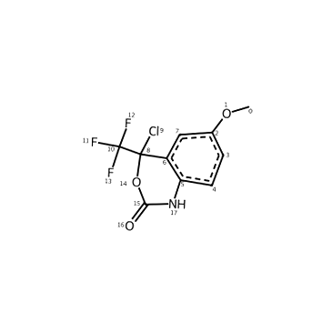 COc1ccc2c(c1)C(Cl)(C(F)(F)F)OC(=O)N2